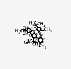 CCC1C=C(C(C)(C)C)C=[C]1/[Zr+2](=[CH]/c1ccc(C)cc1)[c]1cc(C(C)(C)C)cc2c1Cc1ccc(C(C)(C)C)cc1-2.[Cl-].[Cl-]